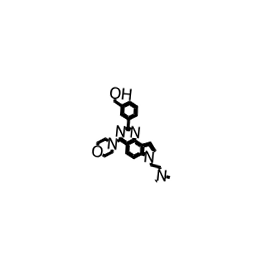 CN(C)CCn1ccc2c3nc(-c4cccc(CO)c4)nc(N4CCOCC4)c3ccc21